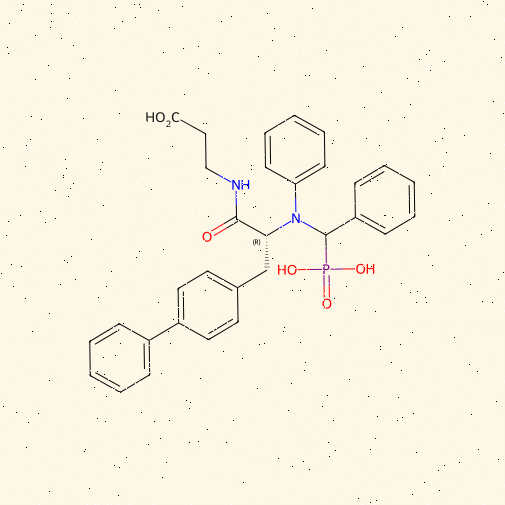 O=C(O)CCNC(=O)[C@@H](Cc1ccc(-c2ccccc2)cc1)N(c1ccccc1)C(c1ccccc1)P(=O)(O)O